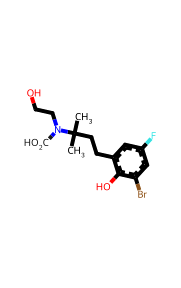 CC(C)(CCc1cc(F)cc(Br)c1O)N(CCO)C(=O)O